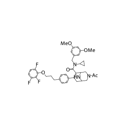 COc1cc(CN(C(=O)C2=C(c3ccc(CCCOc4c(F)ccc(F)c4F)cc3)CC3CN(C(C)=O)CC2N3)C2CC2)cc(OC)c1